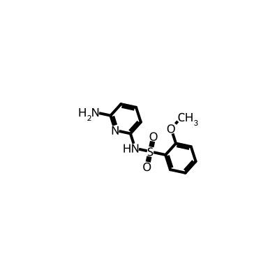 COc1ccccc1S(=O)(=O)Nc1cccc(N)n1